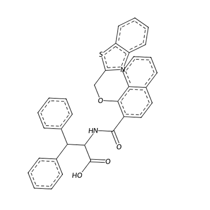 O=C(NC(C(=O)O)C(c1ccccc1)c1ccccc1)c1ccc2ccccc2c1OCc1nc2ccccc2s1